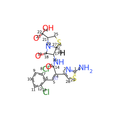 Nc1nc(/C(=C/c2c(Cl)cccc2Cl)C(=O)NC2C(=O)N3C(C(=O)O)CS[C@@H]23)cs1